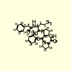 CSCC[C@H](NP(=O)(Cc1ccccc1)Cc1ccccc1)C(=O)N1CCC[C@H]1C(=O)N1CCC[C@H]1C(=O)O